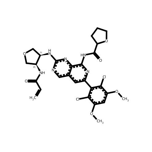 C=CC(=O)N[C@H]1COC[C@H]1Nc1ncc2cc(-c3c(Cl)c(OC)cc(OC)c3Cl)nc(NC(=O)C3CCCO3)c2n1